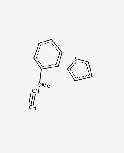 C#C.COc1ccccc1.c1ccsc1